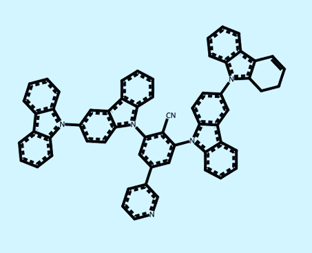 N#Cc1c(-n2c3ccccc3c3cc(-n4c5c(c6ccccc64)C=CCC5)ccc32)cc(-c2cccnc2)cc1-n1c2ccccc2c2cc(-n3c4ccccc4c4ccccc43)ccc21